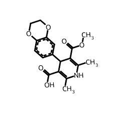 COC(=O)C1=C(C)NC(C)=C(C(=O)O)C1c1ccc2c(c1)OCCO2